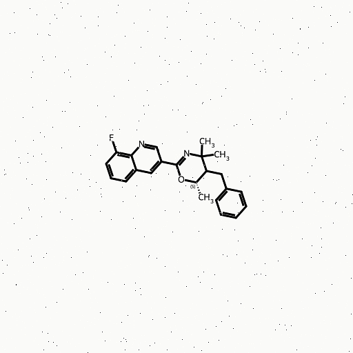 C[C@@H]1OC(c2cnc3c(F)cccc3c2)=NC(C)(C)C1Cc1ccccc1